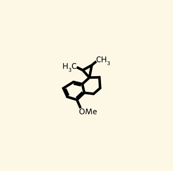 COc1cccc2c1CCCC21C(C)C1C